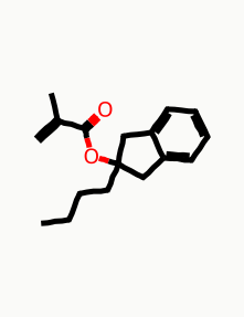 C=C(C)C(=O)OC1(CCCC)Cc2ccccc2C1